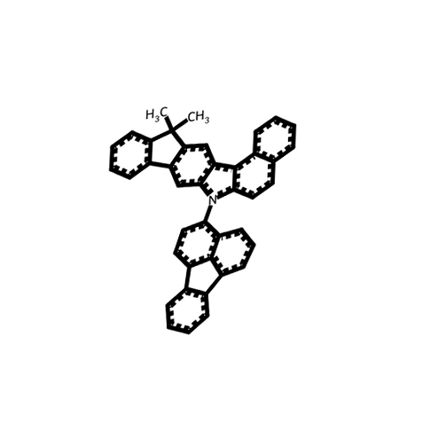 CC1(C)c2ccccc2-c2cc3c(cc21)c1c2ccccc2ccc1n3-c1ccc2c3c(cccc13)-c1ccccc1-2